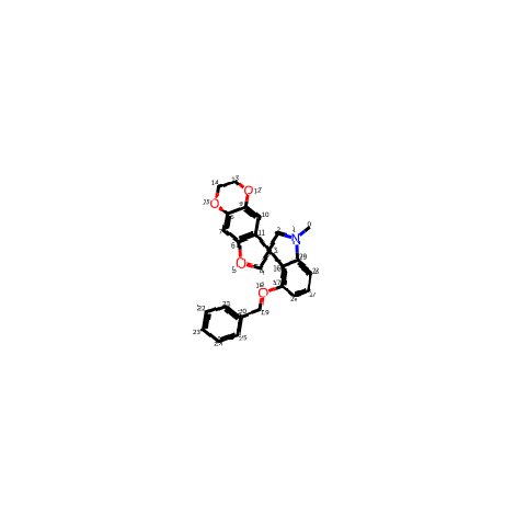 CN1CC2(COc3cc4c(cc32)OCCO4)c2c(OCc3ccccc3)cccc21